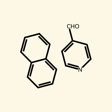 O=Cc1ccncc1.c1ccc2ccccc2c1